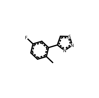 Cc1ccc(F)cc1-c1csnn1